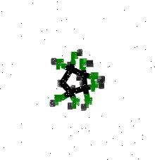 FC1(F)[CH]C(F)(F)C(F)(F)C1(F)F